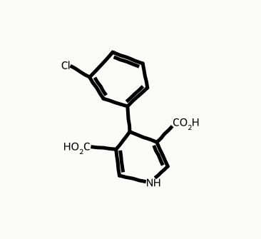 O=C(O)C1=CNC=C(C(=O)O)C1c1cccc(Cl)c1